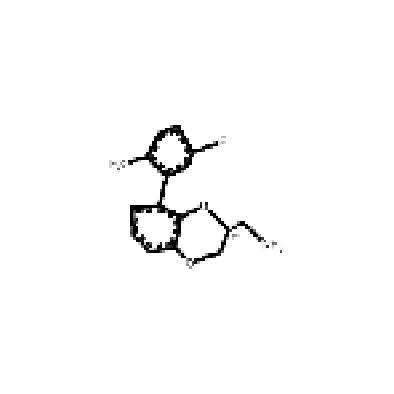 NC[C@H]1COc2cccc(-c3cc(F)ccc3C(F)(F)F)c2O1